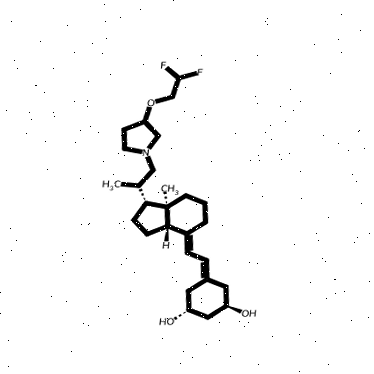 CC(CN1CCC(OCC(F)F)C1)[C@H]1CC[C@H]2C(=CC=C3C[C@@H](O)C[C@H](O)C3)CCC[C@]12C